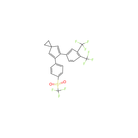 O=S(=O)(c1ccc(C2=CC3(C=C2c2ccc(C(F)(F)F)c(C(F)(F)F)c2)CC3)cc1)C(F)(F)F